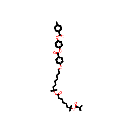 C=C(C)C(=O)OC(C)(C)CCCCCC(=O)OC(C)(C)CCCCCCCOc1ccc(C(=O)Oc2ccc(OC(=O)c3ccc(C)cc3)cc2)cc1